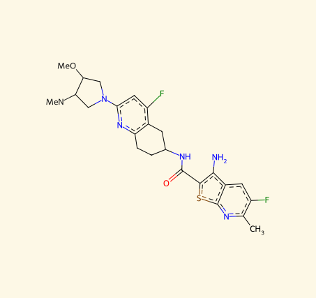 CNC1CN(c2cc(F)c3c(n2)CCC(NC(=O)c2sc4nc(C)c(F)cc4c2N)C3)CC1OC